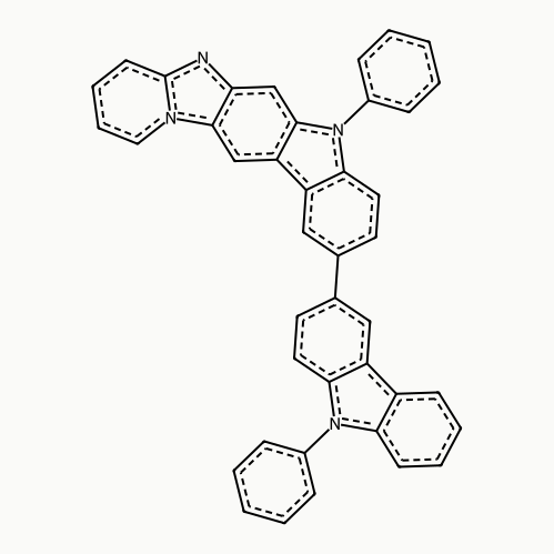 c1ccc(-n2c3ccccc3c3cc(-c4ccc5c(c4)c4cc6c(cc4n5-c4ccccc4)nc4ccccn46)ccc32)cc1